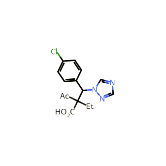 CCC(C(C)=O)(C(=O)O)C(c1ccc(Cl)cc1)n1cncn1